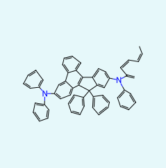 C=C(/C=C\C=C/C)N(c1ccccc1)c1ccc2c(c1)C(c1ccccc1)(c1ccccc1)c1c-2c2ccccc2c2cc(N(c3ccccc3)c3ccccc3)ccc12